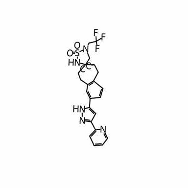 O=S1(=O)NC2(CN1CC(F)(F)F)C1CCC2Cc2cc(-c3cc(-c4ccccn4)n[nH]3)ccc2C1